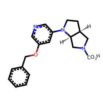 O=C(O)N1C[C@@H]2CCN(c3cncc(OCc4ccccc4)c3)[C@@H]2C1